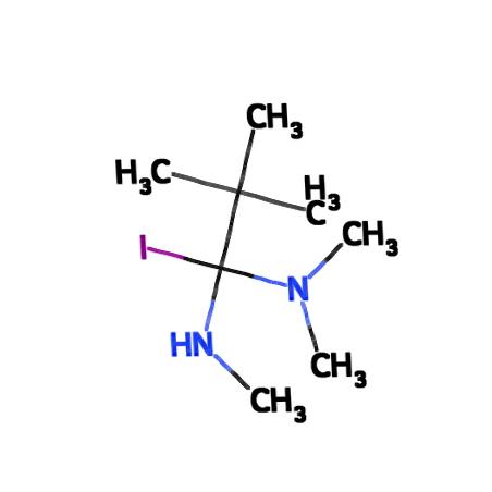 CNC(I)(N(C)C)C(C)(C)C